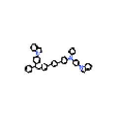 c1ccc(C(Cc2ccc(-c3ccc(-c4ccc(N(c5ccccc5)c5ccc(-n6ccc7ccccc76)cc5)cc4)cc3)cc2)c2ccc(-n3ccc4ccccc43)cc2)cc1